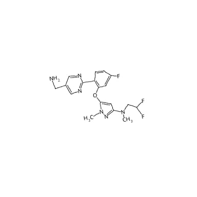 CN(CC(F)F)c1cc(Oc2cc(F)ccc2-c2ncc(CN)cn2)n(C)n1